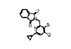 O=C1c2ccccc2C(=O)N1Cc1nc(C2CC2)cc(Cl)c1Br